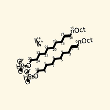 CCCCCCCCC=CCCCCCCCCO[PH](=O)[O-].CCCCCCCCC=CCCCCCCCCO[PH](=O)[O-].[K+].[K+]